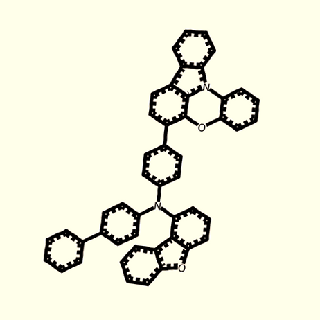 c1ccc(-c2ccc(N(c3ccc(-c4ccc5c6ccccc6n6c5c4Oc4ccccc4-6)cc3)c3cccc4oc5ccccc5c34)cc2)cc1